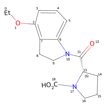 CCOc1cccc2c1CCN2C(=O)[C@@H]1CCCN1C(=O)O